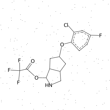 O=C(OC1NCC2CC(Oc3ccc(F)cc3Cl)CC21)C(F)(F)F